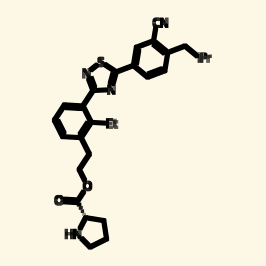 CCc1c(CCOC(=O)[C@@H]2CCCN2)cccc1-c1nsc(-c2ccc(CC(C)C)c(C#N)c2)n1